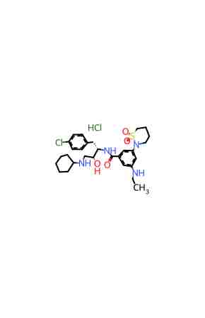 CCNc1cc(C(=O)N[C@@H](Cc2ccc(Cl)cc2)[C@H](O)CNC2CCCCC2)cc(N2CCCCS2(=O)=O)c1.Cl